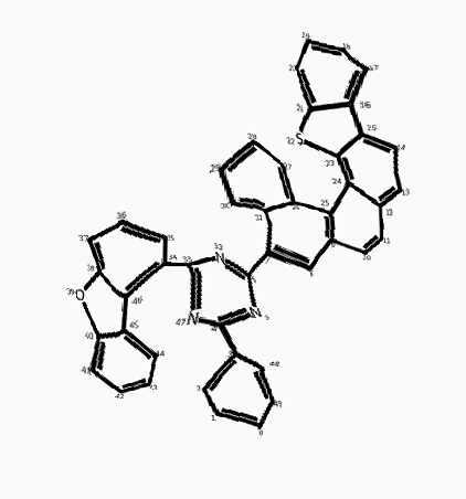 c1ccc(-c2nc(-c3cc4ccc5ccc6c7ccccc7sc6c5c4c4ccccc34)nc(-c3cccc4oc5ccccc5c34)n2)cc1